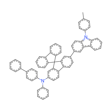 Cc1ccc(-n2c3ccccc3c3cc(-c4ccc5c(c4)C4(c6ccccc6-c6ccccc64)c4cc(N(c6ccccc6)c6ccc(-c7ccccc7)cc6)ccc4-5)ccc32)cc1